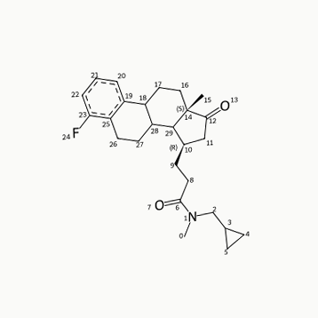 CN(CC1CC1)C(=O)CC[C@@H]1CC(=O)[C@@]2(C)CCC3c4cccc(F)c4CCC3C12